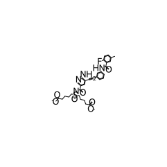 COC(=O)CCCCS(=O)(CCCCC(=O)OC)=NC(=O)c1cnc(N)c(C#Cc2cccc(NC(=O)c3cc(C)ccc3F)c2)c1